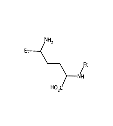 CCNC(CCC(N)CC)C(=O)O